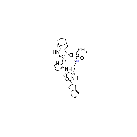 CCC1CC2CCCN(C2)C1NC(=O)Cn1cccc(NC(=O)[C@H](CC/C=C/C(=O)OC)NC(=O)C2Cc3ccccc3C2)c1=O